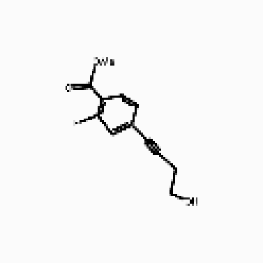 COC(=O)c1ccc(C#CCCO)cc1F